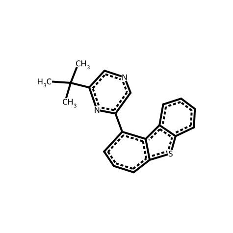 CC(C)(C)c1cncc(-c2cccc3sc4ccccc4c23)n1